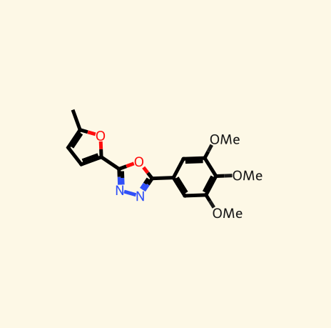 COc1cc(-c2nnc(-c3ccc(C)o3)o2)cc(OC)c1OC